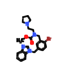 COC(=O)N(CCN1CCCC1)Cc1cc(Cn2cnc3ccccc32)ccc1Br